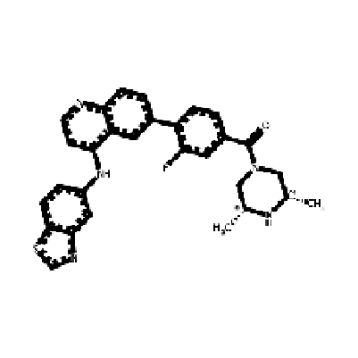 C[C@@H]1CN(C(=O)c2ccc(-c3ccc4nccc(Nc5ccc6scnc6c5)c4c3)c(F)c2)C[C@H](C)N1